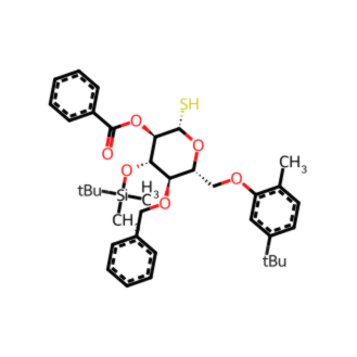 Cc1ccc(C(C)(C)C)cc1OC[C@H]1O[C@@H](S)[C@H](OC(=O)c2ccccc2)[C@@H](O[Si](C)(C)C(C)(C)C)[C@@H]1OCc1ccccc1